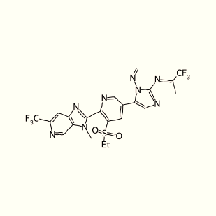 C=Nn1c(-c2cnc(-c3nc4cc(C(F)(F)F)ncc4n3C)c(S(=O)(=O)CC)c2)cnc1/N=C(\C)C(F)(F)F